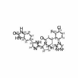 O=C1C=C(c2c(-n3cnnn3)ccc(Cl)c2F)C[C@H]2CC[C@@H](c3ncc(-c4ccc5[nH]c(=O)[nH]c5c4)[nH]3)N12